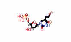 O=c1[nH]c(=O)n([C@H]2C[C@@H](O)[C@H](COP(=O)(O)O)O2)cc1/C=C/Br